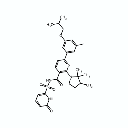 CC(C)COc1cc(F)cc(-c2ccc(C(=O)NS(=O)(=O)c3cccc(=O)[nH]3)c(N3CCC(C)C3(C)C)n2)c1